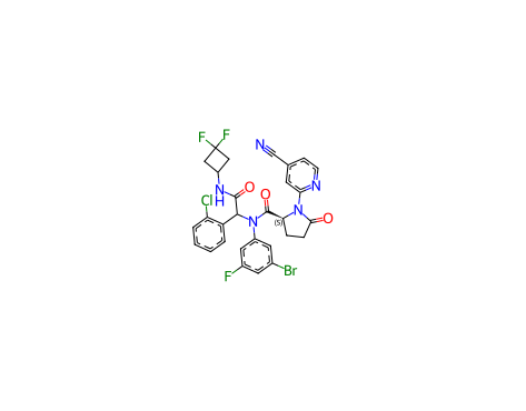 N#Cc1ccnc(N2C(=O)CC[C@H]2C(=O)N(c2cc(F)cc(Br)c2)C(C(=O)NC2CC(F)(F)C2)c2ccccc2Cl)c1